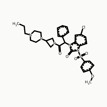 CCCN1CCN(C2CN(C(=O)C(c3ccccc3)n3c(=O)n(S(=O)(=O)c4ccc(OC)cc4)c4ccc(Cl)cc43)C2)CC1